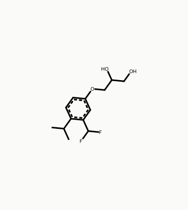 CC(C)c1ccc(OCC(O)CO)cc1C(F)F